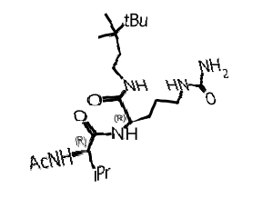 CC(=O)N[C@@H](C(=O)N[C@H](CCCNC(N)=O)C(=O)NCCC(C)(C)C(C)(C)C)C(C)C